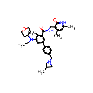 CCN(c1cc(-c2ccc(CN3CC(C)C3)cc2)cc(C(=O)NCc2c(C)cc(C)[nH]c2=O)c1C)C1CCOCC1